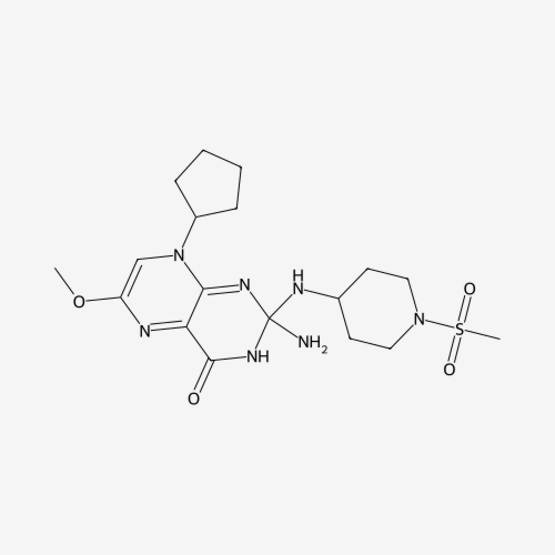 COC1=CN(C2CCCC2)C2=NC(N)(NC3CCN(S(C)(=O)=O)CC3)NC(=O)C2=N1